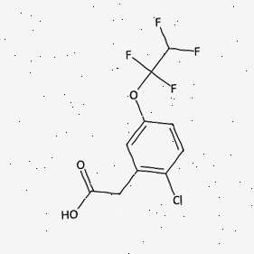 O=C(O)Cc1cc(OC(F)(F)C(F)F)ccc1Cl